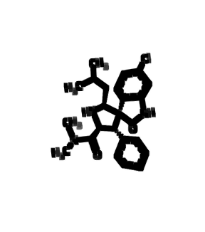 CC(C)C[C@@H]1N[C@H](C(=O)N(C)C)[C@@H](c2ccccc2)[C@]12C(=O)Nc1cc(Cl)ccc12